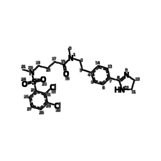 CN(CCc1ccc(C2=NCCN2)cc1)C(=O)CCCN(C)S(=O)(=O)c1cccc(Cl)c1Cl